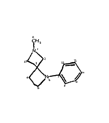 CN1CC2(CCN2c2ccccc2)C1